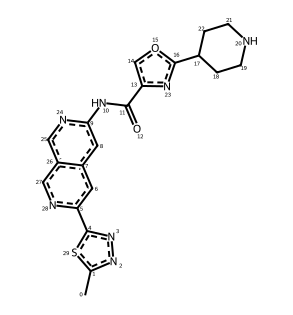 Cc1nnc(-c2cc3cc(NC(=O)c4coc(C5CCNCC5)n4)ncc3cn2)s1